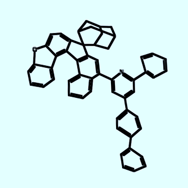 c1ccc(-c2ccc(-c3cc(-c4ccccc4)nc(-c4cc5c(c6ccccc46)-c4c(ccc6oc7ccccc7c46)C54C5CC6CC(C5)CC4C6)c3)cc2)cc1